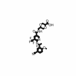 COc1ccc(C#N)cc1C(C)Nc1ncc(C(=O)NCC2COC(C(=O)O)CO2)cc1C(F)(F)F